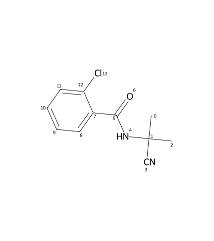 CC(C)(C#N)NC(=O)c1ccccc1Cl